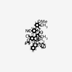 COc1cccc(CN(C(=O)c2cc(-c3cc(Cl)c(OC(F)F)cc3C(=O)N3Cc4ccccc4C[C@H]3CN3CCOCC3)n(C)c2C)c2ccc(C#N)cc2)c1C